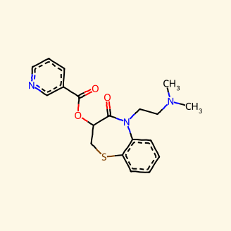 CN(C)CCN1C(=O)C(OC(=O)c2cccnc2)CSc2ccccc21